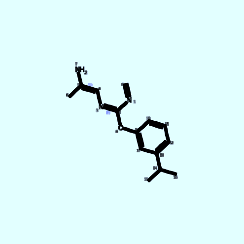 C=N/C(=N\C=C(/C)N)Oc1cccc(C(C)C)c1